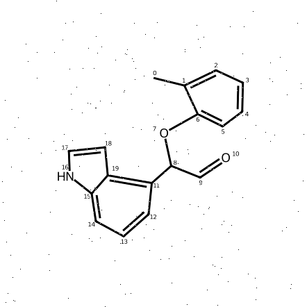 Cc1ccccc1OC(C=O)c1cccc2[nH]ccc12